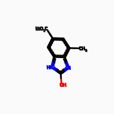 CCOC(=O)c1cc(C)c2nc(O)[nH]c2c1